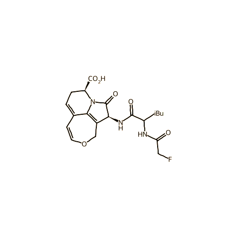 CCC(C)C(NC(=O)CF)C(=O)N[C@@H]1C(=O)N2C3=C1COC=CC3=CC[C@H]2C(=O)O